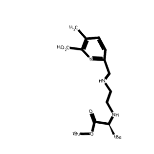 Cc1ccc(CNCCN[C@H](C(=O)OC(C)(C)C)C(C)(C)C)nc1C(=O)O